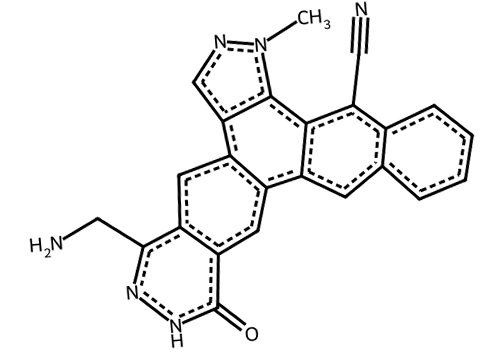 Cn1ncc2c3cc4c(CN)n[nH]c(=O)c4cc3c3cc4ccccc4c(C#N)c3c21